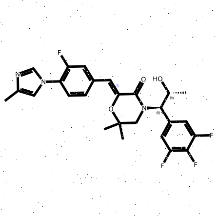 Cc1cn(-c2ccc(/C=C3\OC(C)(C)CN([C@H](c4cc(F)c(F)c(F)c4)[C@@H](C)O)C3=O)cc2F)cn1